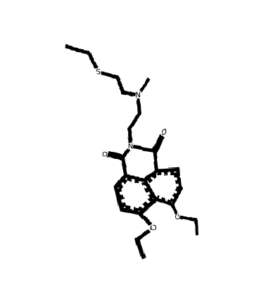 CCOc1ccc2c3c(ccc(OCC)c13)C(=O)N(CCN(C)CCSCC)C2=O